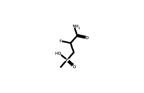 CP(=O)(O)CC(F)C(N)=O